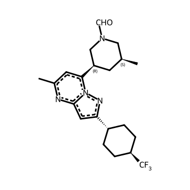 Cc1cc([C@@H]2C[C@H](C)CN(C=O)C2)n2nc([C@H]3CC[C@H](C(F)(F)F)CC3)cc2n1